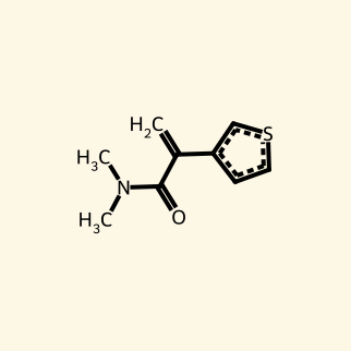 C=C(C(=O)N(C)C)c1ccsc1